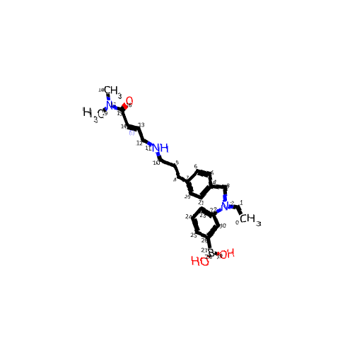 CCN(Cc1ccc(CCCNC/C=C/C(=O)N(C)C)cc1)c1cccc(B(O)O)c1